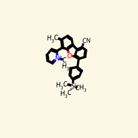 Cc1ccc2c(oc3c(-c4ccc([Si](C)(C)C)cc4)ccc(C#N)c32)c1-c1cccc[n+]1C